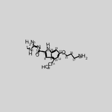 CNC(N)=NC(=O)c1cc2c(Cl)cc(OCCCN)cc2[nH]1.Cl